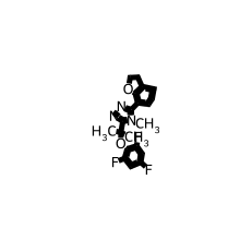 Cn1c(-c2cccc3c2OCC3)nnc1C(C)(C)Oc1c(F)cc(F)cc1F